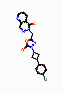 O=c1c2cccnc2cnn1Cc1nn(C2CC(c3ccc(Cl)cc3)C2)c(=O)o1